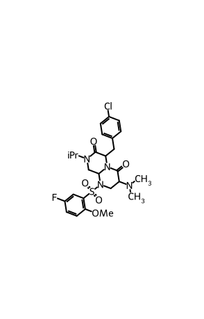 COc1ccc(F)cc1S(=O)(=O)N1CC(N(C)C)C(=O)N2C(Cc3ccc(Cl)cc3)C(=O)N(C(C)C)CC21